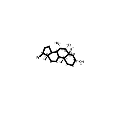 CC[C@H]1[C@@H](O)C2C3CCC(C(C)C)[C@@]3(C)CCC2[C@@]2(C)CC[C@@H](O)C[C@@H]12